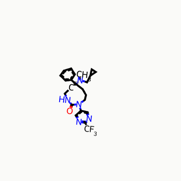 CN(CC1CC1)[C@@]1(c2ccccc2)CCCN(c2cnc(C(F)(F)F)nc2)C(=O)NCC1